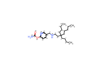 CCCCCC(CCCC)(CCCC)CCNCc1ccc(OC(N)=O)nc1